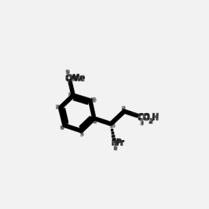 CCC[C@@H](CC(=O)O)c1cccc(OC)c1